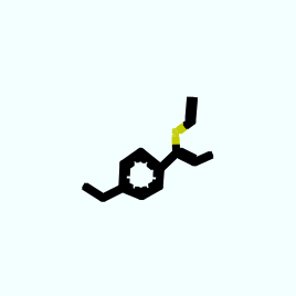 C=CSC(=CC)c1ccc(CC)cc1